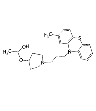 CC(O)OC1CCN(CCCN2c3ccccc3Sc3ccc(C(F)(F)F)cc32)CC1